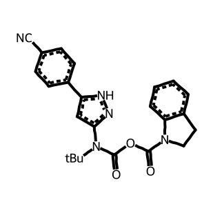 CC(C)(C)N(C(=O)OC(=O)N1CCc2ccccc21)c1cc(-c2ccc(C#N)cc2)[nH]n1